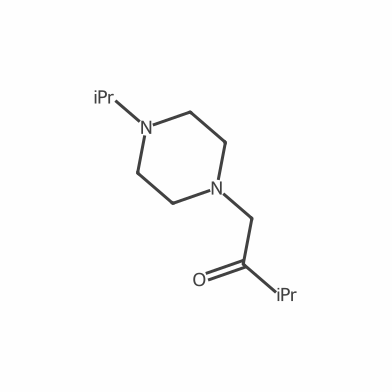 CC(C)C(=O)CN1CCN(C(C)C)CC1